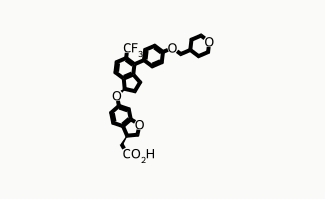 O=C(O)C[C@@H]1COc2cc(O[C@@H]3CCc4c3ccc(C(F)(F)F)c4-c3ccc(OCC4CCOCC4)cc3)ccc21